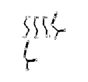 OCCO.OCCO.OCCO.[N-]=[N+]=NC(=O)O.[N-]=[N+]=NC(=O)O